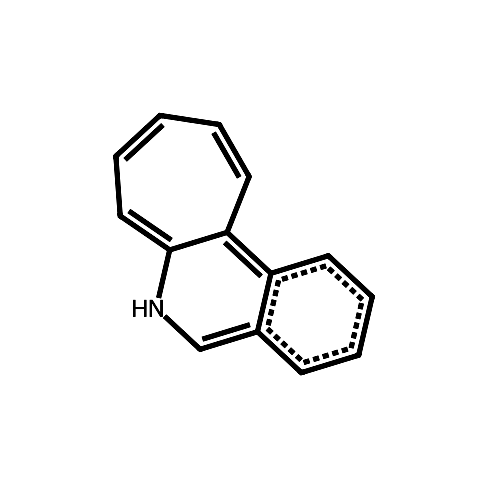 C1=CC=C2NC=c3ccccc3=C2C=C1